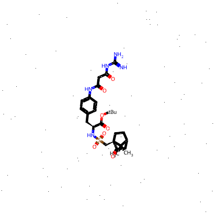 CC(C)(C)OC(=O)[C@H](Cc1ccc(NC(=O)CC(=O)NC(=N)N)cc1)NS(=O)(=O)C[C@]12CCC(CC1=O)C2(C)C